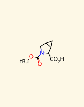 CC(C)(C)OC(=O)N1CC2CC2[C@H]1C(=O)O